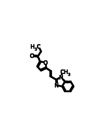 CCC(=O)c1ccc(C=Cc2nc3ccccc3n2C)o1